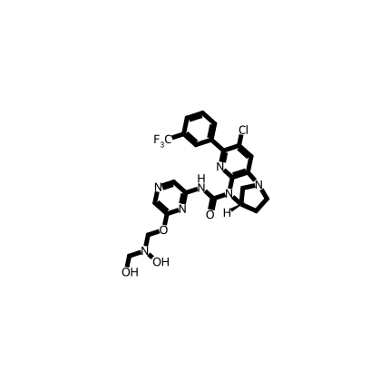 O=C(Nc1cncc(OCN(O)CO)n1)N1c2nc(-c3cccc(C(F)(F)F)c3)c(Cl)cc2N2CC[C@H]1C2